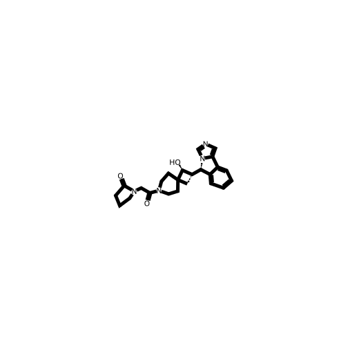 O=C(CN1CCCC1=O)N1CCC2(CC1)C[C@@H]([C@H]1c3ccccc3-c3cncn31)[C@H]2O